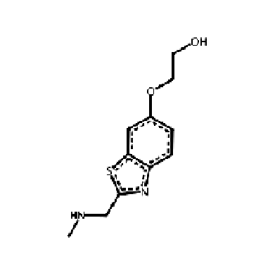 CNCc1nc2ccc(OCCO)cc2s1